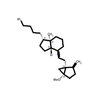 C=C1CC[C@@]2(OC)C[C@@]12C/C=C1\CCC[C@]2(C)[C@@H](CCCCC(C)C)CC[C@@H]12